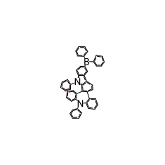 c1ccc(B(c2ccccc2)c2ccc3c(c2)c2ccc4c(c2n3-c2ccccc2)-c2ccccc2N(c2ccccc2)c2ccccc2-4)cc1